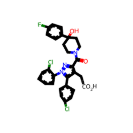 O=C(O)Cc1c(C(=O)N2CCC(O)(c3ccc(F)cc3)CC2)nn(-c2ccccc2Cl)c1-c1ccc(Cl)cc1